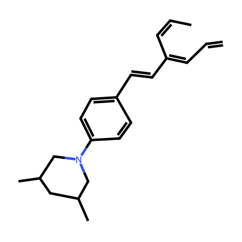 C=C/C=C(\C=C/C)/C=C/c1ccc(N2CC(C)CC(C)C2)cc1